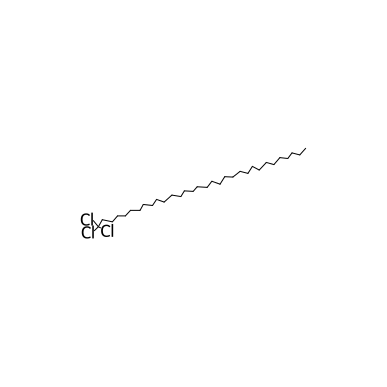 CCCCCCCCCCCCCCCCCCCCCCCCCCCCCCCC(Cl)(Cl)Cl